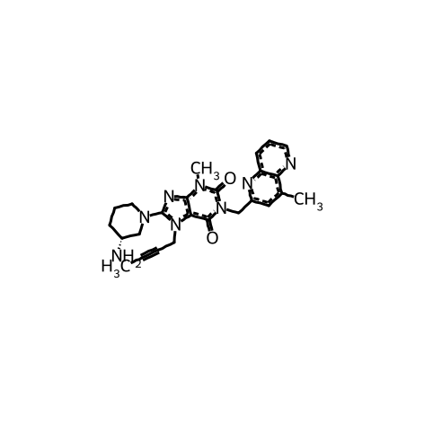 CC#CCn1c(N2CCC[C@@H](N)C2)nc2c1c(=O)n(Cc1cc(C)c3ncccc3n1)c(=O)n2C